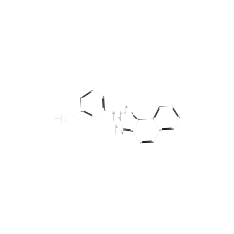 Oc1cccc(-n2nc3ccc4ccccc4c3n2)c1